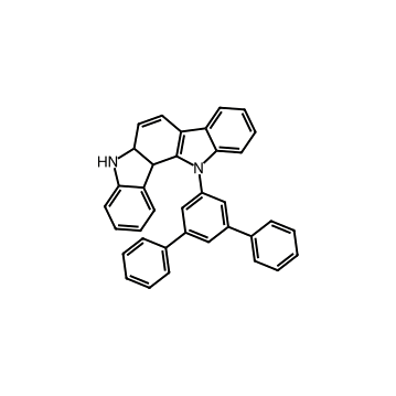 C1=CC2Nc3ccccc3C2c2c1c1ccccc1n2-c1cc(-c2ccccc2)cc(-c2ccccc2)c1